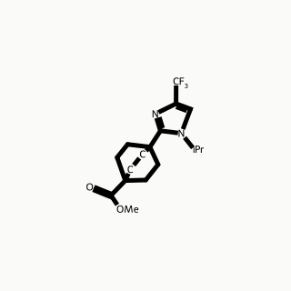 COC(=O)C12CCC(c3nc(C(F)(F)F)cn3C(C)C)(CC1)CC2